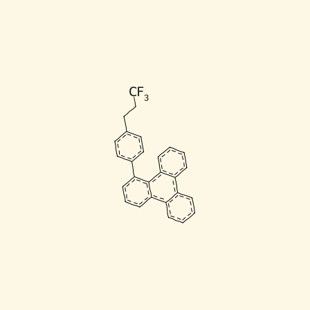 FC(F)(F)CCc1ccc(-c2cccc3c4ccccc4c4ccccc4c23)cc1